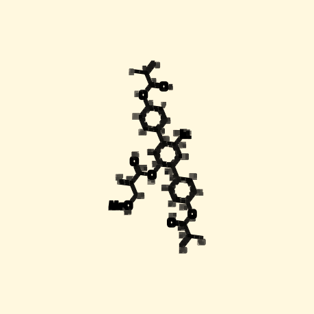 C=C(C)C(=O)Oc1ccc(-c2cc(OC(=O)C(=C)COC)c(-c3ccc(OC(=O)C(=C)C)cc3)cc2CC)cc1